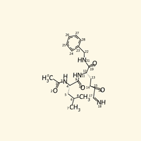 CC(=O)N[C@@H](CC(C)C)C(=O)N[C@@H](CCC(=O)C=N)C(=O)NCc1ccccc1